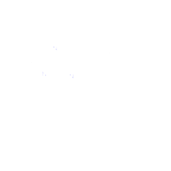 Clc1ccc2c(c1)n(-c1ccc3c(c1)oc1ccccc13)c1nc3ccccc3n21